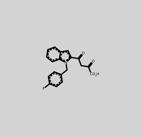 O=C(O)C(=O)CC(=O)c1cc2ccccc2n1Cc1ccc(F)cc1